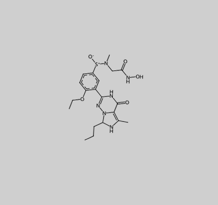 CCCC1NC(C)=C2C(=O)NC(c3cc([S+]([O-])N(C)CC(=O)NO)ccc3OCC)=NN21